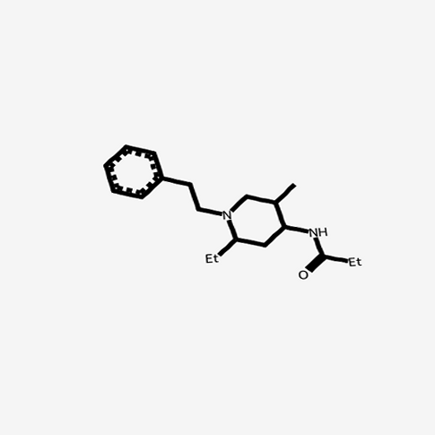 CCC(=O)NC1CC(CC)N(CCc2ccccc2)CC1C